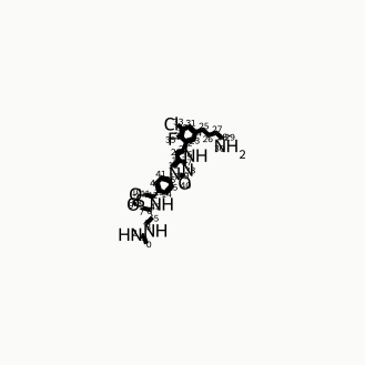 CC(=N)NCC[C@@H]1CS(=O)(=O)C[C@@H](c2ccc(-n3cc4cc(-c5cc(CCC[C@H](C)N)cc(Cl)c5F)[nH]c4nc3=O)cc2)N1